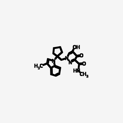 CNC(=O)c1nn(CC2(n3cc(C)c4ccccc43)CCCC2)cc(O)c1=O